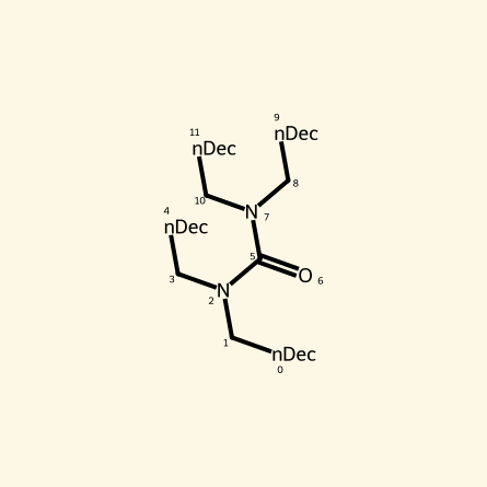 CCCCCCCCCCCN(CCCCCCCCCCC)C(=O)N(CCCCCCCCCCC)CCCCCCCCCCC